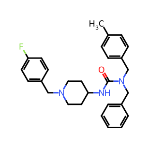 Cc1ccc(CN(Cc2ccccc2)C(=O)NC2CCN(Cc3ccc(F)cc3)CC2)cc1